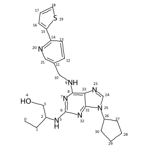 CCC(CO)Nc1nc(NCc2ccc(-c3cccs3)nc2)c2ncn(C3CCCC3)c2n1